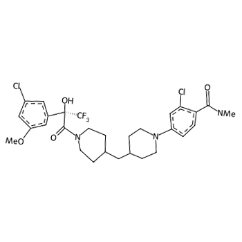 CNC(=O)c1ccc(N2CCC(CC3CCN(C(=O)[C@](O)(c4cc(Cl)cc(OC)c4)C(F)(F)F)CC3)CC2)cc1Cl